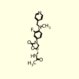 CC(=O)NC[C@H]1CN(c2ccc(N(C)Cc3ccncc3)c(F)c2)C(=O)O1